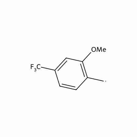 [CH2]c1ccc(C(F)(F)F)cc1OC